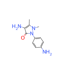 Cc1c(N)c(=O)n(-c2ccc(N)cc2)n1C